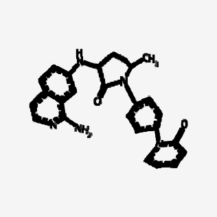 CC1CC(Nc2ccc3ccnc(N)c3c2)C(=O)N1c1ccc(-n2ccccc2=O)cc1